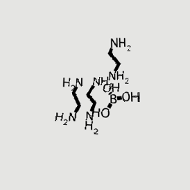 NCCN.NCCN.NCCN.OB(O)O